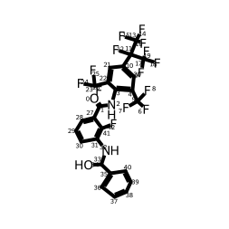 O=C(Nc1c(C(F)(F)F)cc(C(F)(C(F)(F)F)C(F)(F)F)cc1C(F)(F)F)c1cccc(NC(O)c2ccccc2)c1F